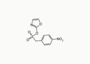 O=[N+]([O-])c1ccc(CS(=O)(=O)Oc2ncco2)cc1